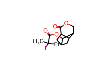 CCC(C)(I)C(=O)OC1C2CC3C(=O)OCC1C3C2